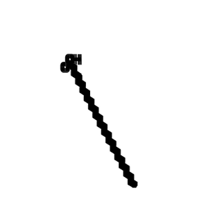 CCCCCCCCCCCCCCCCCCCCCCCCCC=CCCC(=O)O